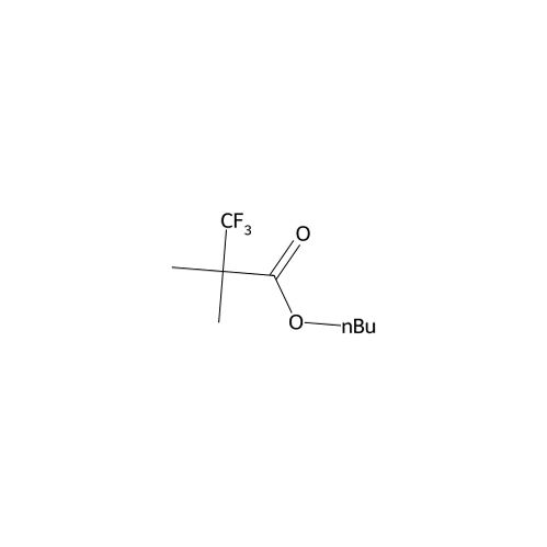 CCCCOC(=O)C(C)(C)C(F)(F)F